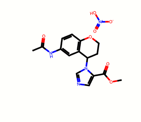 COC(=O)c1cncn1C1CCOc2ccc(NC(C)=O)cc21.O=[N+]([O-])O